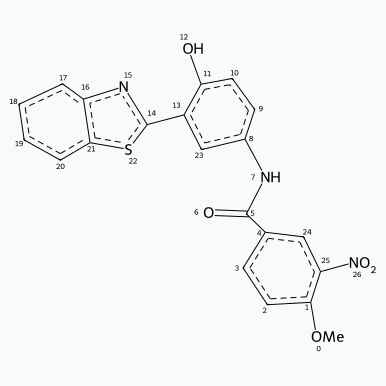 COc1ccc(C(=O)Nc2ccc(O)c(-c3nc4ccccc4s3)c2)cc1[N+](=O)[O-]